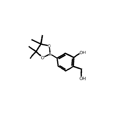 CC1(C)OB(c2ccc(CO)c(O)c2)OC1(C)C